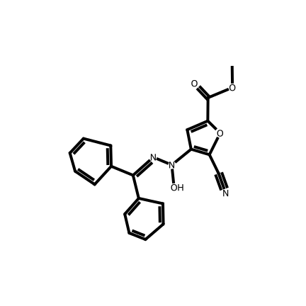 COC(=O)c1cc(N(O)N=C(c2ccccc2)c2ccccc2)c(C#N)o1